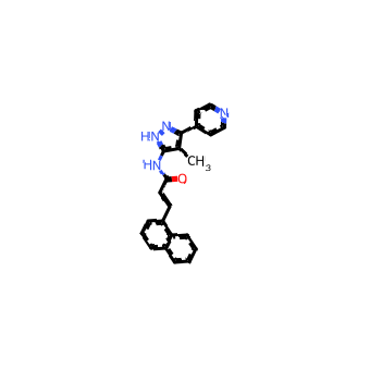 Cc1c(-c2ccncc2)n[nH]c1NC(=O)C=Cc1cccc2ccccc12